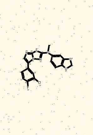 CN(c1ccc2c(c1)OCO2)c1nn2c(-c3ccc(F)c(Cl)c3)cnc2s1